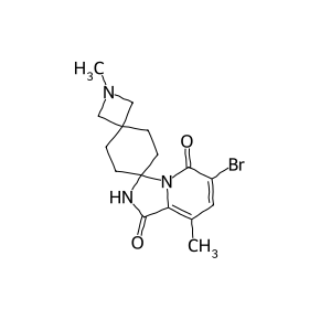 Cc1cc(Br)c(=O)n2c1C(=O)NC21CCC2(CC1)CN(C)C2